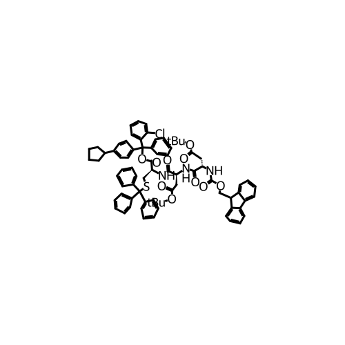 CC(C)(C)OC(=O)C[C@H](NC(=O)OCC1c2ccccc2-c2ccccc21)C(=O)N[C@@H](CC(=O)OC(C)(C)C)C(=O)N[C@@H](CSC(c1ccccc1)(c1ccccc1)c1ccccc1)C(=O)OC(c1ccccc1)(c1ccc(C2CCCC2)cc1)c1ccccc1Cl